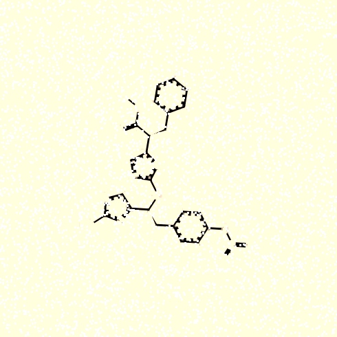 Cc1nc([C@H](Cc2ccc(N[SH](=O)=O)cc2)Nc2ncc([C@H](Cc3ccccc3)C(=O)OC(C)(C)C)o2)cs1